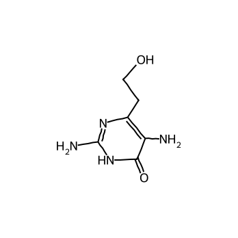 Nc1nc(CCO)c(N)c(=O)[nH]1